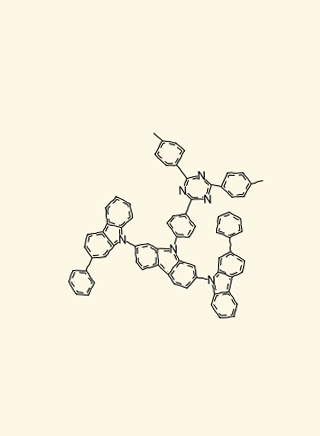 Cc1ccc(-c2nc(-c3ccc(C)cc3)nc(-c3ccc(-n4c5cc(-n6c7ccccc7c7ccc(-c8ccccc8)cc76)ccc5c5ccc(-n6c7ccccc7c7ccc(-c8ccccc8)cc76)cc54)cc3)n2)cc1